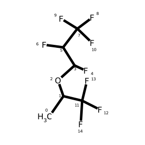 CC(OC(F)C(F)C(F)(F)F)C(F)(F)F